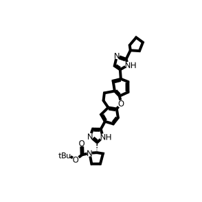 CC(C)(C)OC(=O)N1CCC[C@H]1c1ncc(-c2ccc3c(c2)CCc2cc(-c4cnc(C5CCCC5)[nH]4)ccc2O3)[nH]1